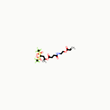 C=CC(=O)OCCNC(=O)CCC(=O)OC(C)CC(S(=O)(=O)C(F)(F)F)S(=O)(=O)C(F)(F)F